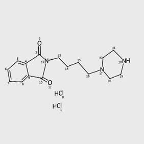 Cl.Cl.O=C1c2ccccc2C(=O)N1CCCCN1CCNCC1